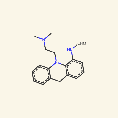 CN(C)CCN1c2ccccc2Cc2cccc(NC=O)c21